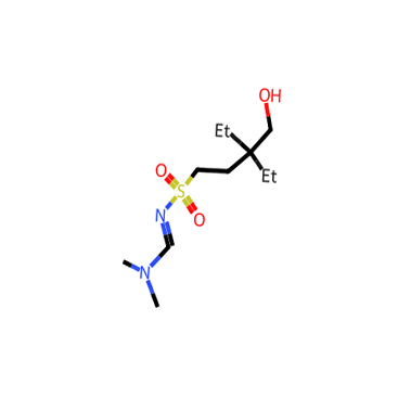 CCC(CC)(CO)CCS(=O)(=O)N=CN(C)C